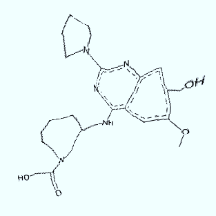 COc1cc2c(NC3CCCN(C(=O)O)C3)nc(N3CCCC3)nc2cc1O